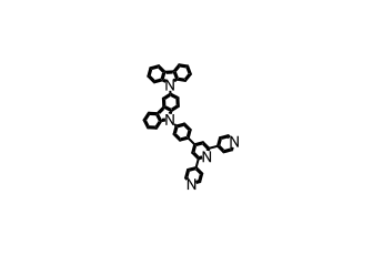 c1ccc2c(c1)c1ccccc1n2-c1ccc2c(c1)c1ccccc1n2-c1ccc(-c2cc(-c3ccncc3)nc(-c3ccncc3)c2)cc1